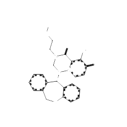 COCCN1CN([C@@H]2c3ccccc3CSc3ccccc32)n2ccc(=O)c(O)c2C1=O